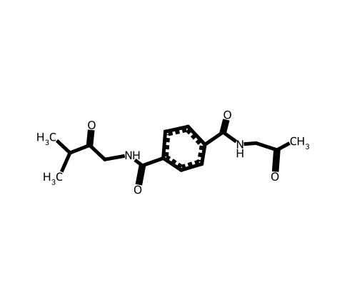 CC(=O)CNC(=O)c1ccc(C(=O)NCC(=O)C(C)C)cc1